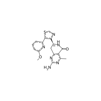 COc1cccc(-c2scnc2[C@@H]2Cc3nc(N)nc(C)c3C(=O)N2)n1